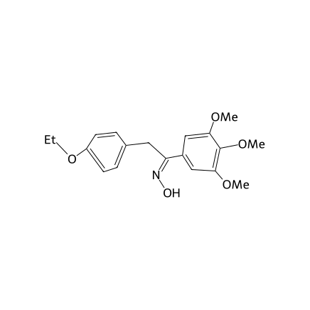 CCOc1ccc(CC(=NO)c2cc(OC)c(OC)c(OC)c2)cc1